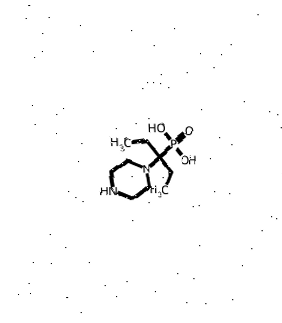 CCC(CC)(N1CCNCC1)P(=O)(O)O